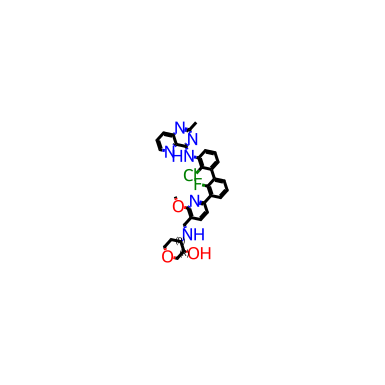 COc1nc(-c2cccc(-c3cccc(Nc4nc(C)nc5cccnc45)c3Cl)c2F)ccc1CN[C@@H]1CCOC[C@@H]1O